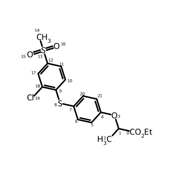 CCOC(=O)C(C)Oc1ccc(Sc2ccc(S(C)(=O)=O)cc2Cl)cc1